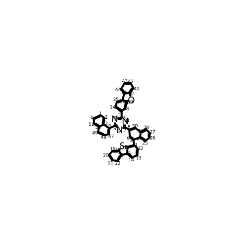 c1ccc2c(-c3nc(-c4cc(-c5cccc6c5sc5ccccc56)c5ccccc5c4)nc(-c4ccc5c(c4)oc4ccccc45)n3)cccc2c1